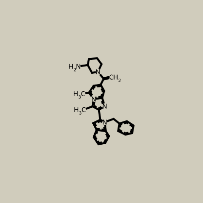 C=C(c1cc(C)n2c(C)c(-c3cc4ccccc4n3Cc3ccccc3)nc2c1)N1CCCC(N)C1